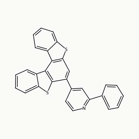 c1ccc(-c2cc(-c3cc4sc5ccccc5c4c4c3sc3ccccc34)ccn2)cc1